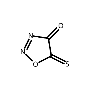 O=C1N=NOC1=S